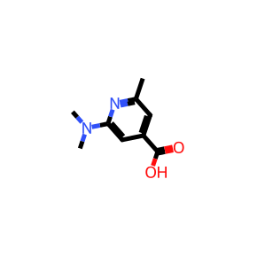 Cc1cc(C(=O)O)cc(N(C)C)n1